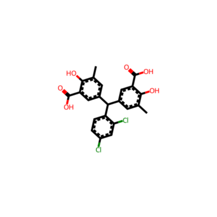 Cc1cc(C(c2cc(C)c(O)c(C(=O)O)c2)c2ccc(Cl)cc2Cl)cc(C(=O)O)c1O